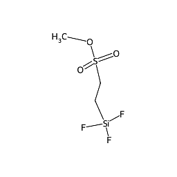 COS(=O)(=O)CC[Si](F)(F)F